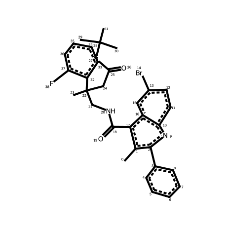 Cc1c(-c2ccccc2)nc2ccc(Br)cc2c1C(=O)NCC(C)(CC(=O)OC(C)(C)C)c1ccccc1F